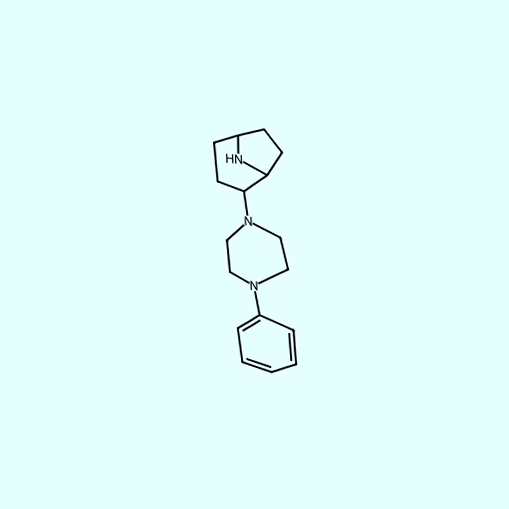 c1ccc(N2CCN(C3CCC4CCC3N4)CC2)cc1